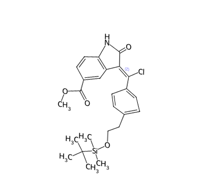 COC(=O)c1ccc2c(c1)/C(=C(/Cl)c1ccc(CCO[Si](C)(C)C(C)(C)C)cc1)C(=O)N2